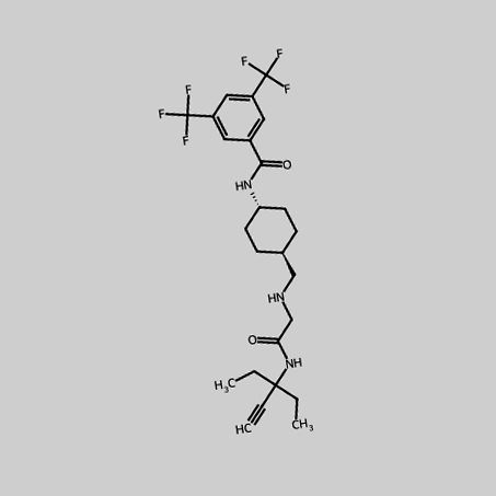 C#CC(CC)(CC)NC(=O)CNC[C@H]1CC[C@H](NC(=O)c2cc(C(F)(F)F)cc(C(F)(F)F)c2)CC1